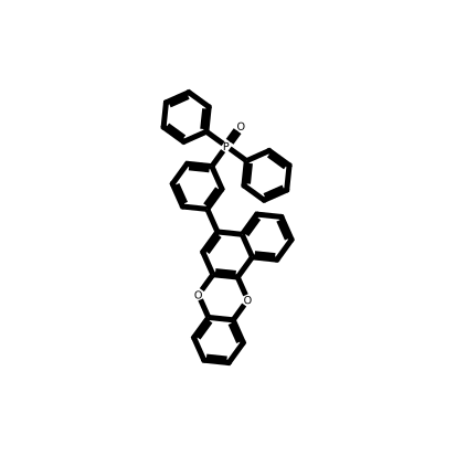 O=P(c1ccccc1)(c1ccccc1)c1cccc(-c2cc3c(c4ccccc24)Oc2ccccc2O3)c1